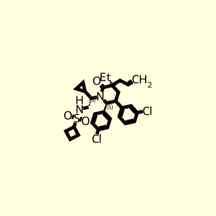 C=CC[C@@]1(CC)CC(c2cccc(Cl)c2)[C@@H](c2ccc(Cl)cc2)N([C@H](CNS(=O)(=O)C2CCC2)C2CC2)C1=O